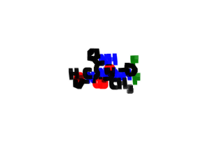 CC(C(=O)NCc1cc(F)cc(F)c1)C(=O)NC(Cc1c[nH]c2ccccc12)C(=O)N(C)Cc1ccco1